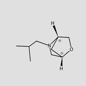 CC(C)CN1C[C@@H]2C[C@H]1CO2